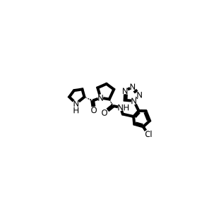 O=C(NCc1cc(Cl)ccc1-n1cnnn1)[C@H]1CCCN1C(=O)[C@H]1CCCN1